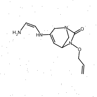 C=CCON1C(=O)N2CC(N/C=C\N)=CC1C2